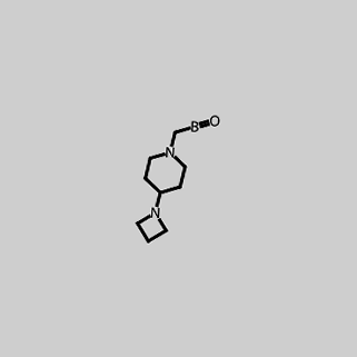 O=BCN1CCC(N2CCC2)CC1